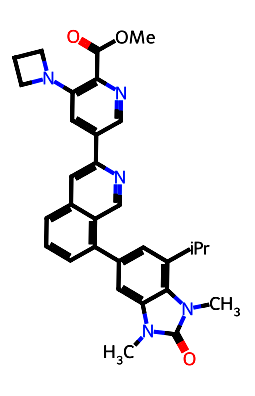 COC(=O)c1ncc(-c2cc3cccc(-c4cc(C(C)C)c5c(c4)n(C)c(=O)n5C)c3cn2)cc1N1CCC1